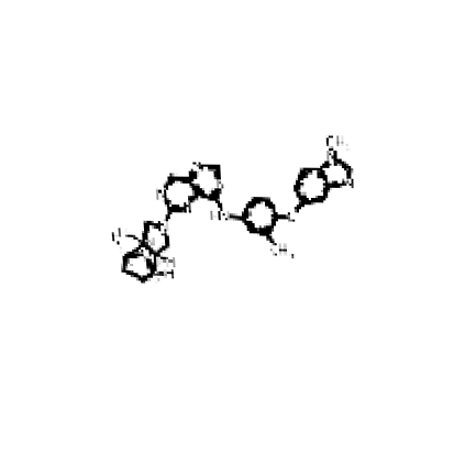 Cc1cc(Nc2ncnc3cnc(N4C[C@@H]5[C@H](C4)[C@@H]4CC[C@@H]5O4)nc23)ccc1Oc1ccc2c(c1)ncn2C